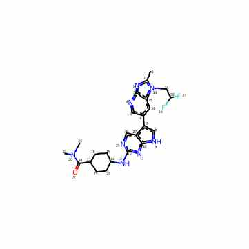 Cc1nc2ncc(-c3c[nH]c4nc(NC5CCC(C(=O)N(C)C)CC5)ncc34)cc2n1CC(F)F